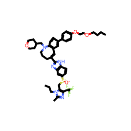 CCCCOCCOc1ccc(-c2ccc3c(c2)/C=C(/c2nc4cc([S@@+]([O-])Cc5c(C(F)(F)F)nc(C)n5CCC)ccc4[nH]2)CCCN3CC2CCOCC2)cc1